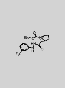 CC(C)(C)OC(=O)N1C2CCC(C2)C1C(=O)NNc1cccc(C(F)(F)F)c1